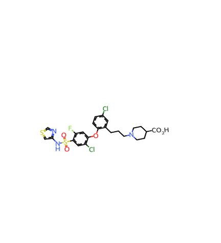 O=C(O)C1CCN(CCCc2cc(Cl)ccc2Oc2cc(F)c(S(=O)(=O)Nc3cscn3)cc2Cl)CC1